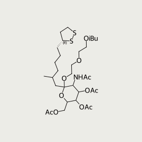 CC(=O)NC1C(OC(C)=O)C(OC(C)=O)C(COC(C)=O)OC1(CC(C)CCCC[C@@H]1CCSS1)OCCOCCOCC(C)C